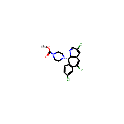 CC(C)(C)OC(=O)N1CCN([C@H]2c3ccc(Cl)cc3C(Br)=Cc3cc(Cl)cnc32)CC1